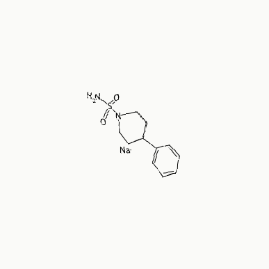 NS(=O)(=O)N1CCC(c2ccccc2)CC1.[Na]